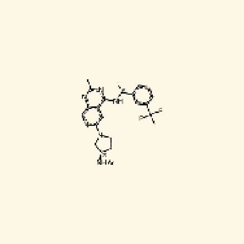 CC(=O)N[C@@H]1CCN(c2cc3c(N[C@H](C)c4cccc(C(C)(F)F)c4)nc(C)nc3cn2)C1